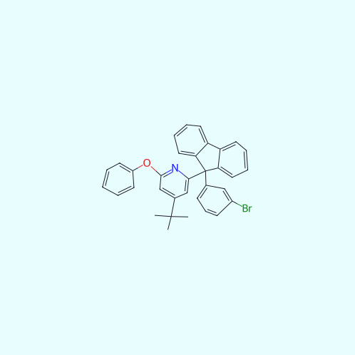 CC(C)(C)c1cc(Oc2ccccc2)nc(C2(c3cccc(Br)c3)c3ccccc3-c3ccccc32)c1